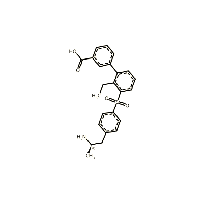 CCc1c(-c2cccc(C(=O)O)c2)cccc1S(=O)(=O)c1ccc(C[C@@H](C)N)cc1